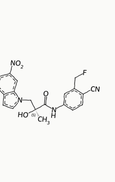 C[C@](O)(Cn1ccc2ccc([N+](=O)[O-])cc21)C(=O)Nc1ccc(C#N)c(CF)c1